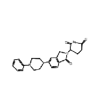 O=C1CCC(N2Cc3cc(C4CCN(c5ccccc5)CC4)ccc3C2=O)C(=O)N1